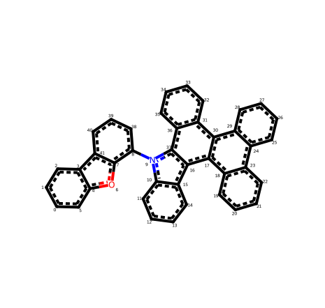 c1ccc2c(c1)oc1c(-n3c4ccccc4c4c5c6ccccc6c6ccccc6c5c5ccccc5c43)cccc12